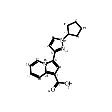 O=C(O)c1cc(-c2ccn(C3CCCC3)n2)n2ccccc12